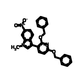 Cn1cc(-c2ccc(OCc3ccccc3)nc2OCc2ccccc2)c2ccc([N+](=O)[O-])cc21